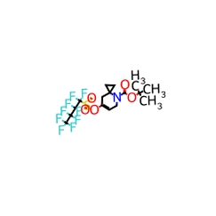 CC(C)(C)OC(=O)N1CC=C(OS(=O)(=O)C(F)(F)C(F)(F)C(F)(F)C(F)(F)F)CC12CC2